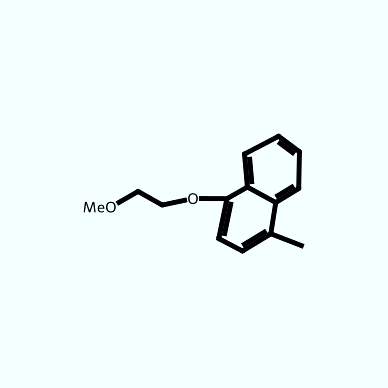 COCCOc1ccc(C)c2ccccc12